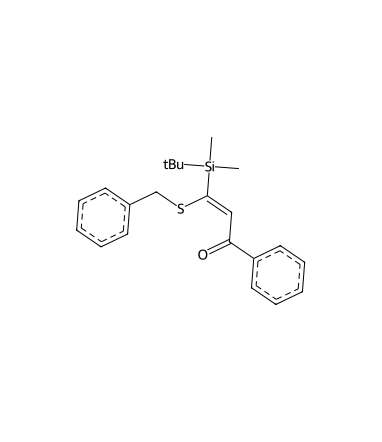 CC(C)(C)[Si](C)(C)/C(=C/C(=O)c1ccccc1)SCc1ccccc1